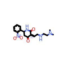 CN(C)CCNC/C=C1/C(=O)CC(c2ccccc2[N+](=O)[O-])NC1=O